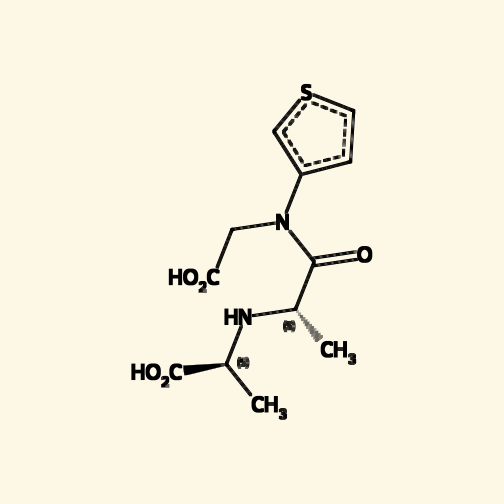 C[C@H](N[C@@H](C)C(=O)N(CC(=O)O)c1ccsc1)C(=O)O